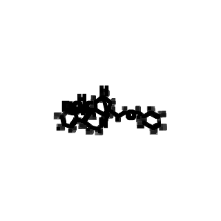 CCOC(=O)C12C[C@H]3CC(CCOCc4ccccc4)C1N(CCc1c2[nH]c2ccccc12)C3